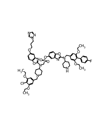 CCOc1cc(CN2CCC(N(CS(=O)(=O)Oc3ccc4oc(N(Cc5cc(OCC)c(-c6ccc(F)cc6)c(OCC)c5)C5CCNCC5)nc4c3)c3nc4cc(OCCCn5cncn5)ccc4o3)CC2)cc(OCC)c1Cl